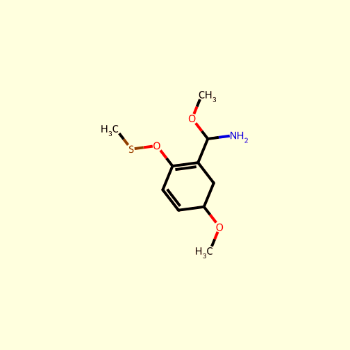 COC1C=CC(OSC)=C(C(N)OC)C1